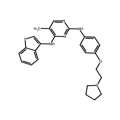 Cc1cnc(Nc2ccc(OCCN3CCCC3)cc2)nc1Nc1csc2ccccc12